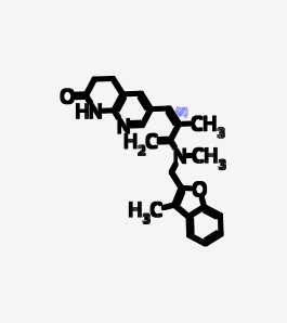 C=C(/C(C)=C\c1cnc2c(c1)CCC(=O)N2)N(C)Cc1oc2ccccc2c1C